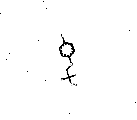 CSC(F)(F)COc1ccc(F)cc1